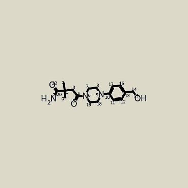 CC(C)(CC(=O)N1CCN(c2ccc(CO)cc2)CC1)C(N)=O